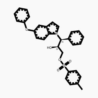 Cc1ccc(S(=O)(=O)OC[C@@H](O)[C@H](c2ccccc2)n2ccc3cc(Oc4ccccc4)ccc32)cc1